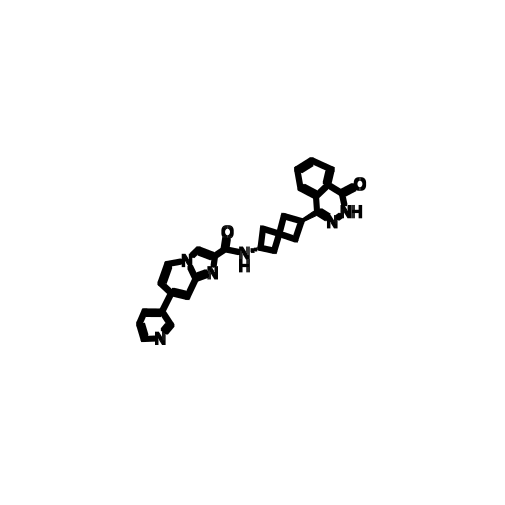 O=C(N[C@H]1CC2(C1)C[C@H](c1n[nH]c(=O)c3ccccc31)C2)c1cn2ccc(-c3cccnc3)cc2n1